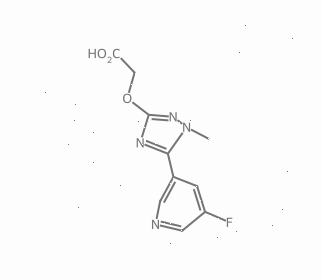 Cn1nc(OCC(=O)O)nc1-c1cncc(F)c1